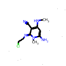 CNc1cc(N)n(C)c(=NCCCl)c1C#N